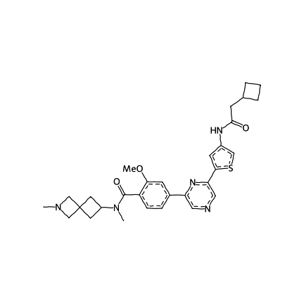 COc1cc(-c2cncc(-c3cc(NC(=O)CC4CCC4)cs3)n2)ccc1C(=O)N(C)C1CC2(C1)CN(C)C2